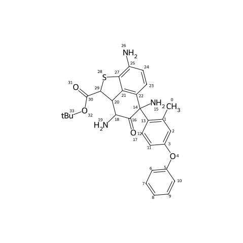 Cc1cc(Oc2ccccc2)ccc1C1(N)C(=O)C(N)C2c3c1ccc(N)c3SC2C(=O)OC(C)(C)C